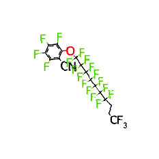 N#Cc1c(F)c(F)c(F)c(F)c1OC(F)(F)C(F)(F)C(F)(F)C(F)(F)C(F)(F)C(F)(F)C(F)(F)CCC(F)(F)F